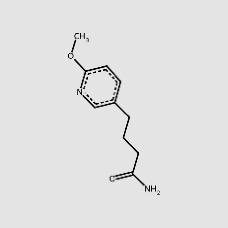 COc1ccc(CCCC(N)=O)cn1